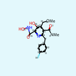 CNC(=O)c1c(Cc2ccc(F)cc2)nc(C(=O)NO)c(O)c1COC